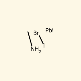 BrI.CN.[Pb]